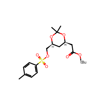 Cc1ccc(S(=O)(=O)OC[C@@H]2C[C@H](CC(=O)OC(C)(C)C)OC(C)(C)O2)cc1